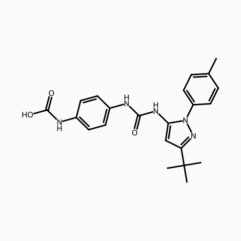 Cc1ccc(-n2nc(C(C)(C)C)cc2NC(=O)Nc2ccc(NC(=O)O)cc2)cc1